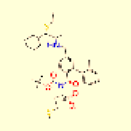 CCSC(C1CCCCC1)C(C)NCc1ccc(C(=O)N(C(=O)OC(C)(C)C)[C@@H](CCSC)C(=O)OC)c(-c2ccccc2C)c1